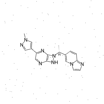 C[C@H](c1ccc2nccn2c1)n1[nH]c2ncc(-c3cnn(C)c3)nc21